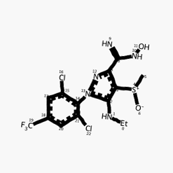 CCNc1c([S+](C)[O-])c(C(=N)NO)nn1-c1c(Cl)cc(C(F)(F)F)cc1Cl